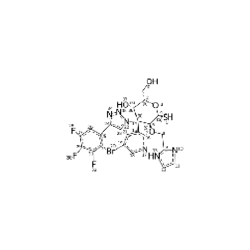 OC[C@@H]1O[C@@H](S)[C@@H](OCc2ncc[nH]2)[C@](c2cncc(Br)c2)(n2cc(-c3cc(F)c(F)c(F)c3)nn2)[C@@H]1O